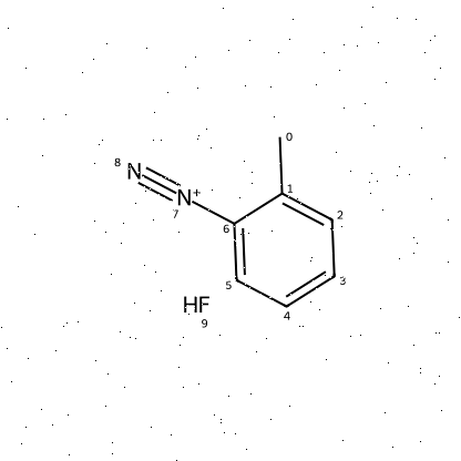 Cc1ccccc1[N+]#N.F